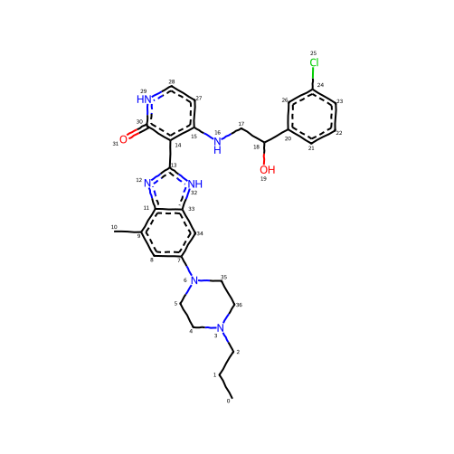 CCCN1CCN(c2cc(C)c3nc(-c4c(NCC(O)c5cccc(Cl)c5)cc[nH]c4=O)[nH]c3c2)CC1